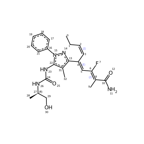 CC\C=C/C(=C\C(F)=C(/C)C(N)=O)c1nn(-c2ccccc2)c(NC(=O)N[C@H](C)CO)c1C